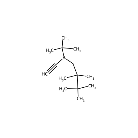 C#CB(CC(C)(C)C(C)(C)C)C(C)(C)C